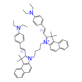 CCN(CC)c1ccc(/C=C/C2=[N+](CCCC[N+]3=C(/C=C/c4ccc(N(CC)CC)cc4)C(C)(C)c4c3ccc3ccccc43)c3ccc4ccccc4c3C2(C)C)cc1